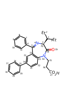 CCC(CC)[C@@H]1N=C(c2ccccc2)c2cc(-c3ccccc3)ccc2N(CCC(=O)O)C1=O